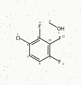 CO.Fc1ccc(Cl)c(F)c1F